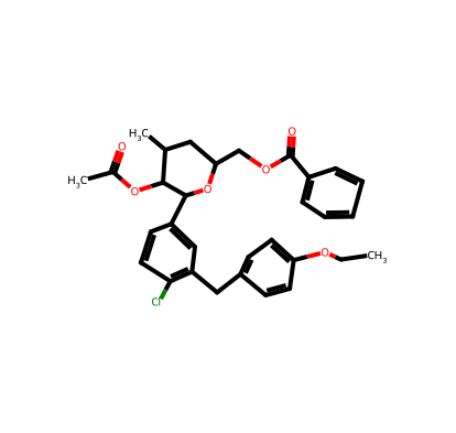 CCOc1ccc(Cc2cc(C3OC(COC(=O)c4ccccc4)CC(C)C3OC(C)=O)ccc2Cl)cc1